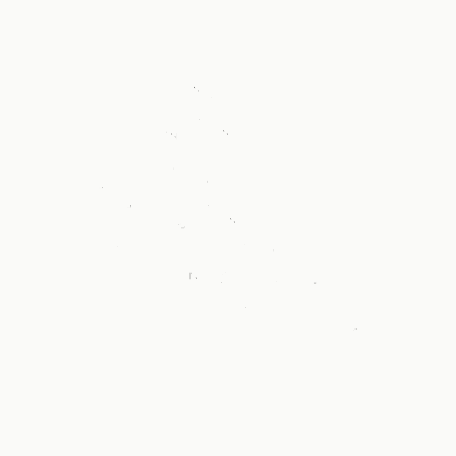 CCc1ccc(CC2N=C(c3cnc(N)nc3)c3cc(Cl)ccc3NC2=O)cc1CC